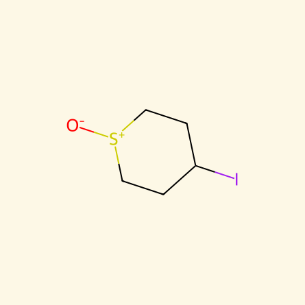 [O-][S+]1CCC(I)CC1